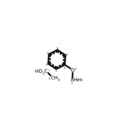 CC(=O)O.CCCCCCOc1ccccc1